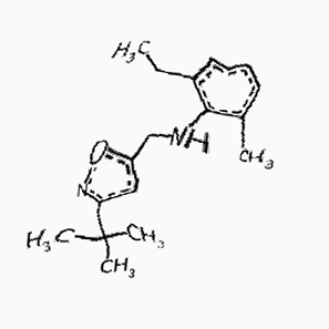 CCc1cccc(C)c1NCc1cc(C(C)(C)C)no1